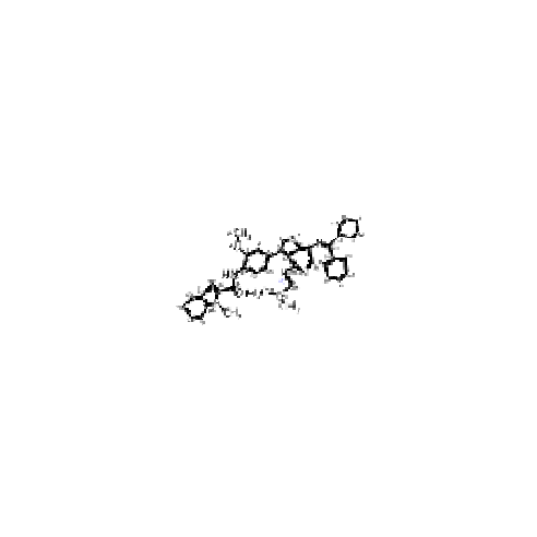 COc1cc(-c2csc3c(N=C(c4ccccc4)c4ccccc4)cnc(/N=C/N(C)C)c23)ccc1NC(=O)c1cc2ccccc2n1C